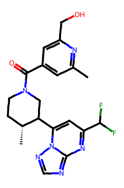 Cc1cc(C(=O)N2CC[C@@H](C)C(c3cc(C(F)F)nc4ncnn34)C2)cc(CO)n1